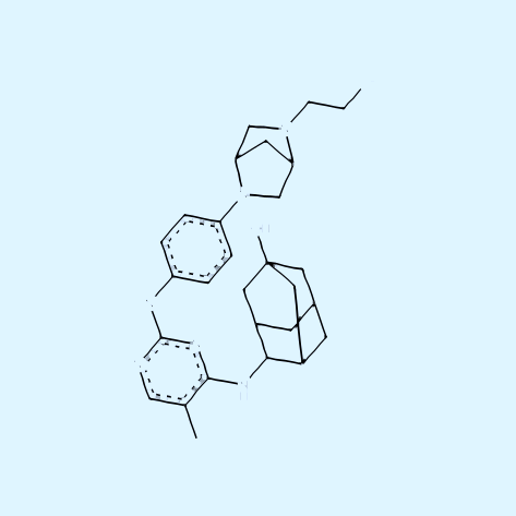 Cc1cnc(Nc2ccc(N3CC4CC3CN4CCO)cc2)nc1NC1C2CC3CC1CC(O)(C3)C2